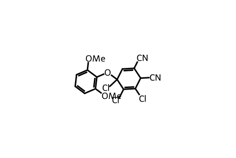 COc1cccc(OC)c1OC1(Cl)C=C(C#N)C(C#N)C(Cl)=C1Cl